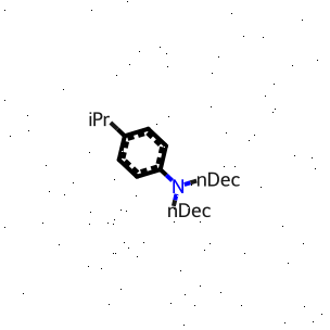 CCCCCCCCCCN(CCCCCCCCCC)c1ccc(C(C)C)cc1